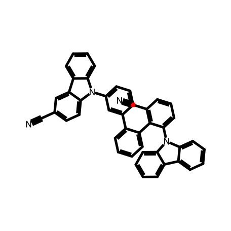 N#Cc1ccc2c(c1)c1ccccc1n2-c1cccc(-c2ccccc2-c2c(C#N)cccc2-n2c3ccccc3c3ccccc32)c1